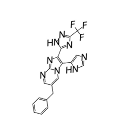 FC(F)(F)c1n[nH]c(-c2nc3ncc(Cc4ccccc4)cn3c2-c2cnc[nH]2)n1